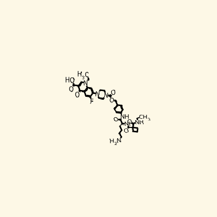 CCNC(=O)C1(C(=O)N[C@@H](CCCCN)C(=O)Nc2ccc(COC(=O)N3CCN(c4cc5c(cc4F)c(=O)c(C(=O)O)cn5CC)CC3)cc2)CCC1